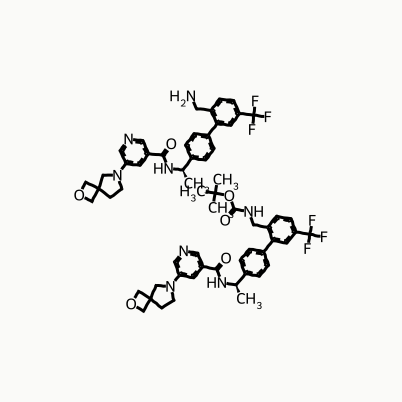 C[C@@H](NC(=O)c1cncc(N2CCC3(COC3)C2)c1)c1ccc(-c2cc(C(F)(F)F)ccc2CN)cc1.C[C@@H](NC(=O)c1cncc(N2CCC3(COC3)C2)c1)c1ccc(-c2cc(C(F)(F)F)ccc2CNC(=O)OC(C)(C)C)cc1